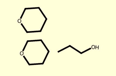 C1CCOCC1.C1CCOCC1.CCCO